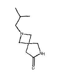 CC(C)CN1CC2(CNC(=O)C2)C1